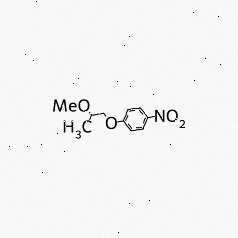 COC(C)COc1ccc([N+](=O)[O-])cc1